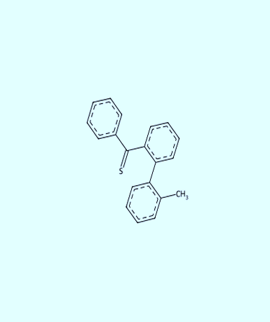 Cc1ccccc1-c1ccccc1C(=S)c1ccccc1